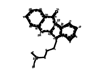 CN(C)CCCn1c2ccccc2n2c(=O)c3ccccc3nc12